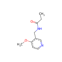 CCC(=O)NCc1cnccc1OC